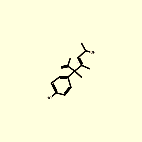 C=C(C)C(C)(/C(C)=C/C(C)O)c1ccc(O)cc1